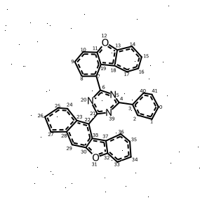 c1ccc(-c2nc(-c3cccc4oc5ccccc5c34)nc(-c3c4ccccc4cc4oc5ccccc5c34)n2)cc1